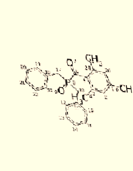 Cc1cc(C)c(C(=O)P(=O)(Cc2ccccc2)Cc2ccccc2)c(C)c1